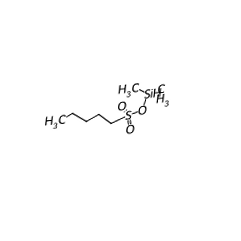 CCCCCS(=O)(=O)O[SiH](C)C